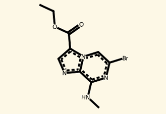 CCOC(=O)c1cnc2c(NC)nc(Br)cn12